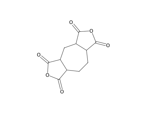 O=C1OC(=O)C2CC3C(=O)OC(=O)C3CCC12